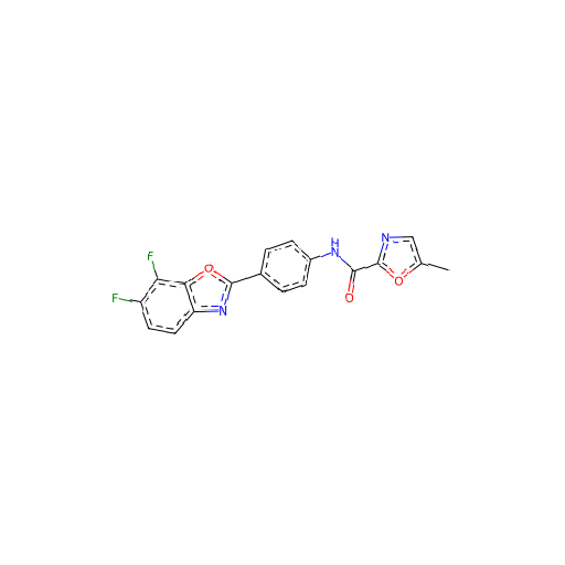 Cc1cnc(C(=O)Nc2ccc(-c3nc4ccc(F)c(F)c4o3)cc2)o1